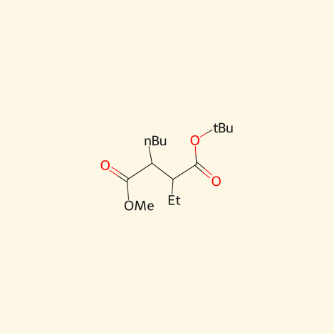 CCCCC(C(=O)OC)C(CC)C(=O)OC(C)(C)C